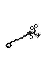 C[N+](C)(C)CC(CC(=O)[O-])NC(=O)CCCCCCCCCc1ccccc1